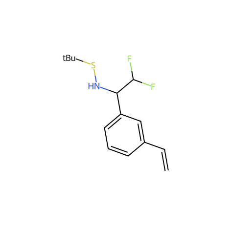 C=Cc1cccc(C(NSC(C)(C)C)C(F)F)c1